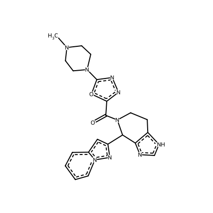 CN1CCN(c2nnc(C(=O)N3CCc4[nH]cnc4C3c3cc4ccccn4n3)o2)CC1